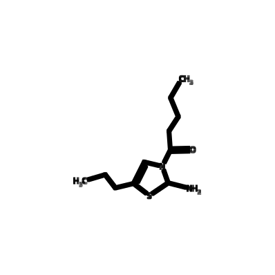 CCCCC(=O)N1C=C(CCC)SC1N